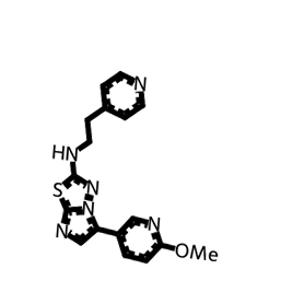 COc1ccc(-c2cnc3sc(NCCc4ccncc4)nn23)cn1